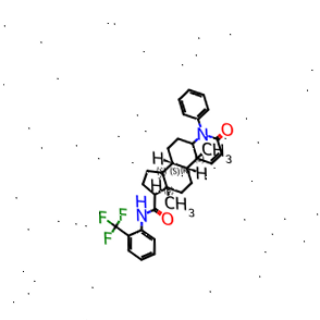 C[C@]12C=CC(=O)N(c3ccccc3)C1CC[C@@H]1[C@H]2CC[C@]2(C)C(C(=O)Nc3ccccc3C(F)(F)F)CC[C@@H]12